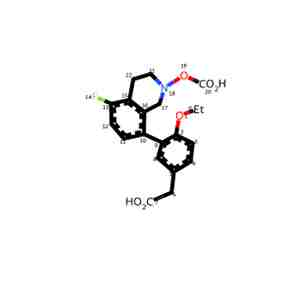 CCOc1ccc(CC(=O)O)cc1-c1ccc(F)c2c1CN(OC(=O)O)CC2